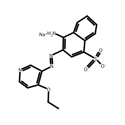 CCOc1ccncc1N=Nc1cc(S(=O)(=O)[O-])c2ccccc2c1N.[Na+]